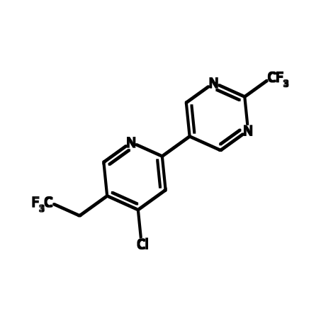 FC(F)(F)Cc1cnc(-c2cnc(C(F)(F)F)nc2)cc1Cl